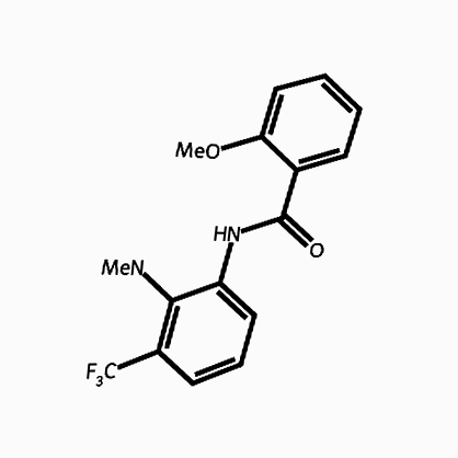 CNc1c(NC(=O)c2ccccc2OC)cccc1C(F)(F)F